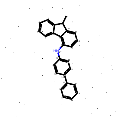 CC1c2ccccc2-c2c(Nc3ccc(-c4ccccc4)cc3)cccc21